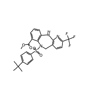 COC(=O)c1cccc2c1N(S(=O)(=O)c1ccc(C(C)(C)C)cc1)Cc1ccc(C(F)(F)F)nc1N2